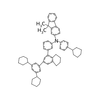 CC1(C)c2ccccc2-c2ccc(N(c3ccc(C4CCCCC4)cc3)c3cccc(-c4cc(-c5cc(C6CCCCC6)cc(C6CCCCC6)c5)cc5c4CCCC5)c3)cc21